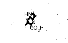 Cc1cc2[nH]ccc2nc1C(=O)O